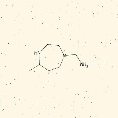 CC1CCN(CN)CCN1